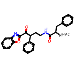 CC(=O)NC(Cc1ccccc1)C(=O)NCCC(C(=O)c1nc2ccccc2o1)c1ccccc1